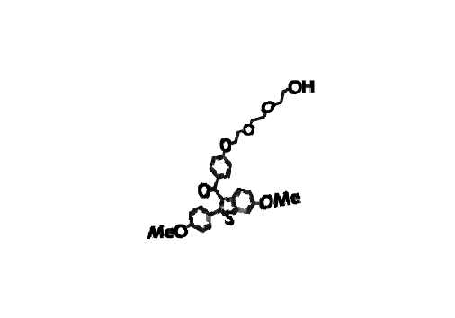 COc1ccc(-c2sc3cc(OC)ccc3c2C(=O)c2ccc(OCCOCCOCCO)cc2)cc1